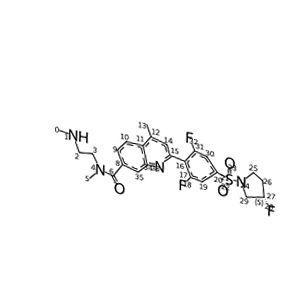 CNCCN(C)C(=O)c1ccc2c(C)cc(-c3c(F)cc(S(=O)(=O)N4CC[C@H](F)C4)cc3F)nc2c1